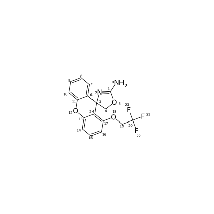 NC1=NC2(CO1)c1ccccc1Oc1cccc(OCC(F)(F)F)c12